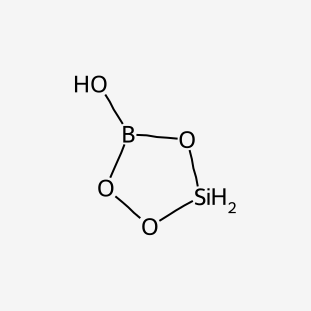 OB1OO[SiH2]O1